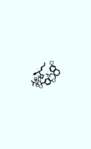 C#C[C@@](C)(/C=C/CC)[C@@H]1CC[C@H]1CN1C[C@@]2(CCCc3cc(Cl)ccc32)COc2ccc(C(=O)NS(=O)(=O)C(C)C)cc21